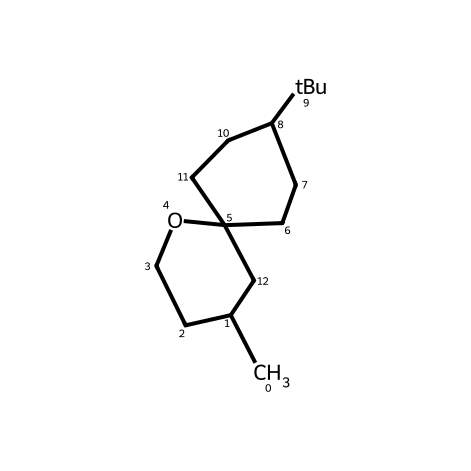 CC1CCOC2(CCC(C(C)(C)C)CC2)C1